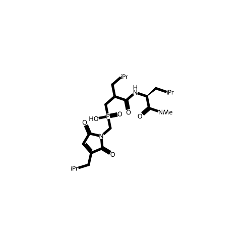 CNC(=O)[C@H](CC(C)C)NC(=O)C(CC(C)C)CP(=O)(O)CN1C(=O)C=C(CC(C)C)C1=O